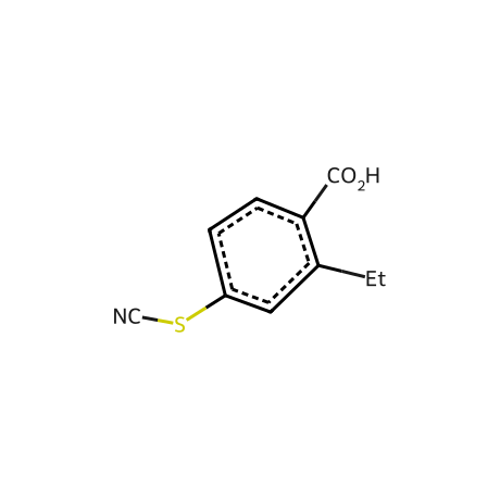 CCc1cc(SC#N)ccc1C(=O)O